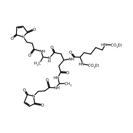 CCOC(=O)NCCCCC(NC(=O)OCC)C(=O)NC(CC(=O)NC(C)NC(=O)CCN1C(=O)C=CC1=O)CC(=O)NC(C)NC(=O)CCN1C(=O)C=CC1=O